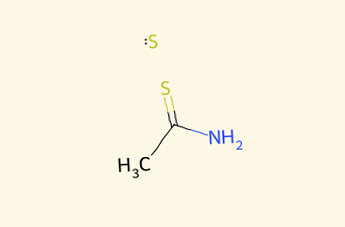 CC(N)=S.[S]